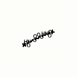 CC(C)(C)OC(=O)NCCOC(=O)CC(=O)OCCNC(=O)OC(C)(C)C